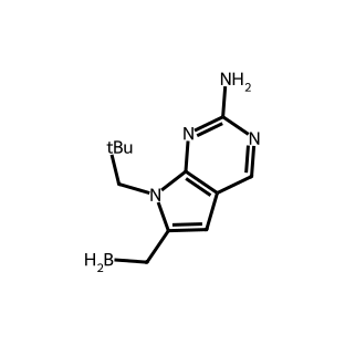 BCc1cc2cnc(N)nc2n1CC(C)(C)C